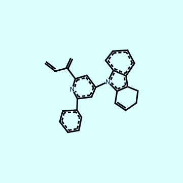 C=CC(=C)c1cc(-n2c3c(c4ccccc42)CCC=C3)cc(-c2ccccc2)n1